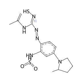 C=C(C)N/C(N=Nc1ccc(N2CCCC2C)cc1N[SH](=O)=O)=N\S